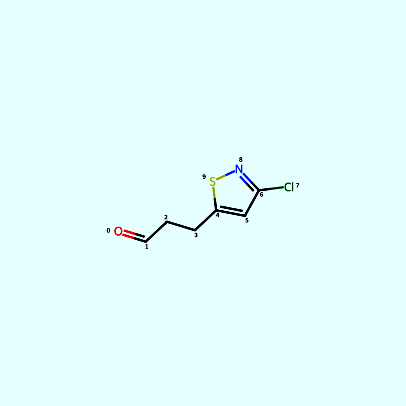 O=CCCc1cc(Cl)ns1